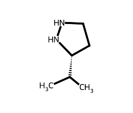 CC(C)[C@H]1CCNN1